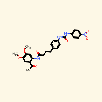 COc1cc(NC(=O)CCCc2ccc(NC(=O)Nc3ccc([N+](=O)[O-])cc3)cc2)c(C(C)=O)cc1OC